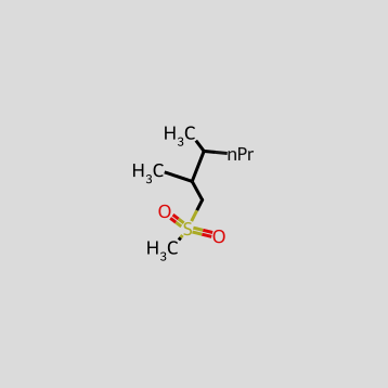 CCCC(C)C(C)CS(C)(=O)=O